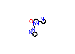 O=c1ccc(-c2ccccn2)nn1CCn1cnc2ccccc21